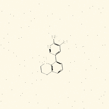 CCc1cc(-c2cccc3c2NCCC3)cnc1N